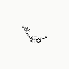 CCC(NS(=O)(=O)CC/C=C/CN1CC(=O)NC1=O)c1cccc(OCC2CC2)c1